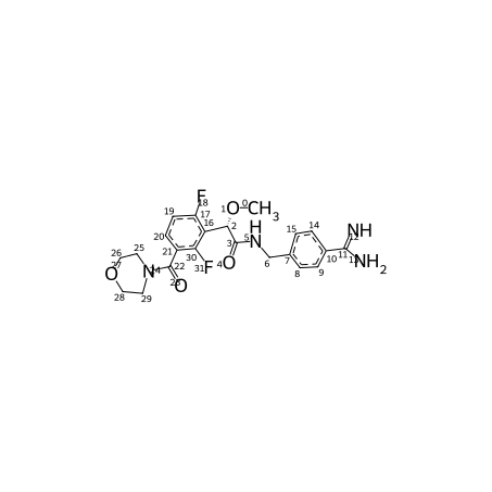 CO[C@H](C(=O)NCc1ccc(C(=N)N)cc1)c1c(F)ccc(C(=O)N2CCOCC2)c1F